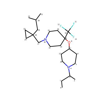 CCC(C)N1CCC(OC2(C(F)(F)F)CCN(CC3(CC(C)C)CC3)CC2)CC1